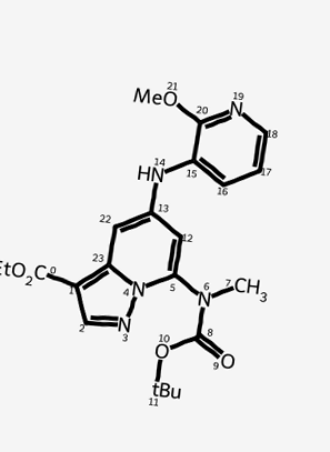 CCOC(=O)c1cnn2c(N(C)C(=O)OC(C)(C)C)cc(Nc3cccnc3OC)cc12